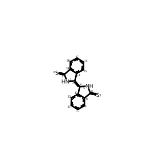 S=C1NC(=C2NC(=S)c3ccccc32)c2ccccc21